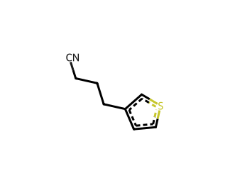 N#CCCCc1ccsc1